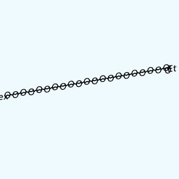 CCCCCCOCCCCOCCCCOCCCCOCCCCOCCCCOCCCCOCCCCOCCCCOCCCCOCCCCOCCCCOCCCCOCCCCOCCCCOCCCCOCCCCOCCCCOCCCCOCCCCOCCCCOC(=O)C(C)(C)CC